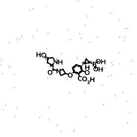 O=C(O)c1c(OC2CN(C(=O)[C@H]3C[C@H](O)CN3)C2)ccc([C@@H]2C[C@@H]2B(O)O)c1O